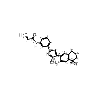 C=CC(=O)Nc1cccc(-n2cc(-c3ccc4c(c3)CCCC4(F)F)c(C)n2)c1